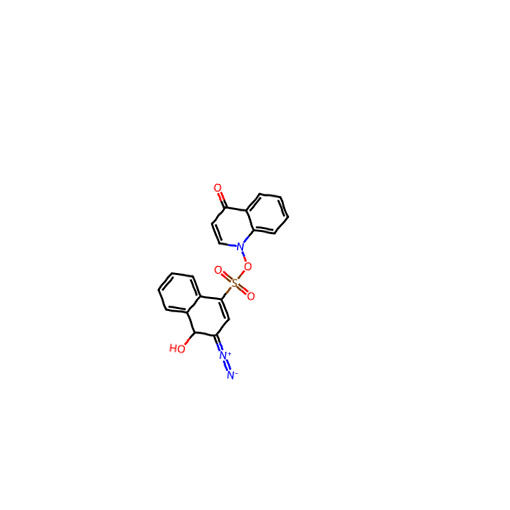 [N-]=[N+]=C1C=C(S(=O)(=O)On2ccc(=O)c3ccccc32)c2ccccc2C1O